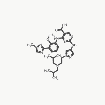 COc1c(Nc2nc(Nc3cnn(CCN(CC(C)C)CC(C)C)c3)ncc2C(=O)O)cccc1-c1ncn(C)n1